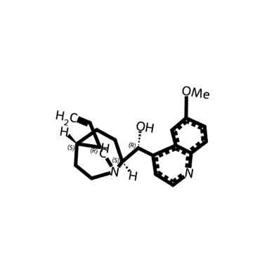 C=C[C@H]1CN2CC[C@@H]1CC[C@H]2[C@H](O)c1ccnc2ccc(OC)cc12